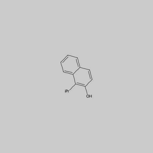 CC(C)c1c(O)ccc2ccccc12